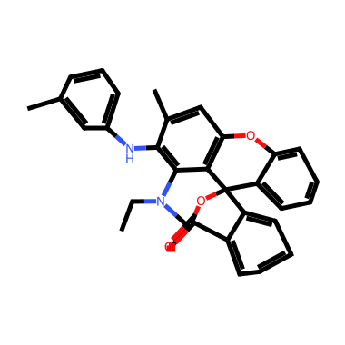 CCN(CC)c1c(Nc2cccc(C)c2)c(C)cc2c1C1(OC(=O)c3ccccc31)c1ccccc1O2